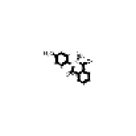 CCCCOC(=O)c1ccccc1C(=O)Oc1ccc(C)cc1